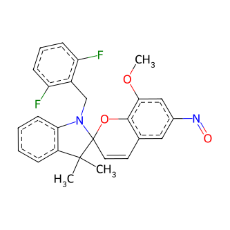 COc1cc(N=O)cc2c1OC1(C=C2)N(Cc2c(F)cccc2F)c2ccccc2C1(C)C